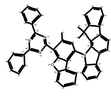 Cc1cc(-n2c3ccccc3c3ccc4c(c32)C(C)(C)c2ccccc2-4)c2c(oc3ccccc32)c1-c1nc(-c2ccccc2)nc(-c2ccccc2)n1